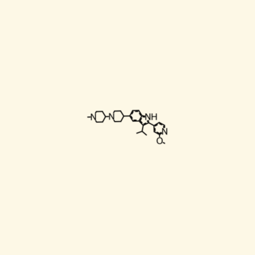 COc1cc(-c2[nH]c3ccc(C4CCN(C5CCN(C)CC5)CC4)cc3c2C(C)C)ccn1